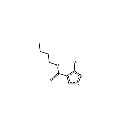 CCCCOC(=O)c1conc1[O]